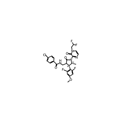 COc1cc(F)c([C@H]2C(CNC(=O)c3ccc(Cl)cc3)C(=O)N(c3nccn(CC(F)F)c3=O)[C@H]2C)c(F)c1